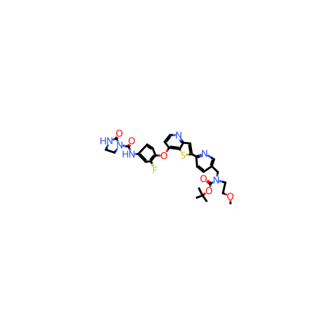 COCCN(Cc1ccc(-c2cc3nccc(Oc4ccc(NC(=O)N5CCNC5=O)cc4F)c3s2)nc1)C(=O)OC(C)(C)C